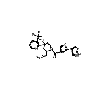 CCC1CC(O)(c2ncccc2C(F)(F)F)CCN1C(=O)c1csc(-c2cn[nH]c2)c1